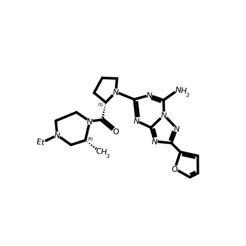 CCN1CCN(C(=O)[C@@H]2CCCN2c2nc(N)n3nc(-c4ccco4)nc3n2)[C@H](C)C1